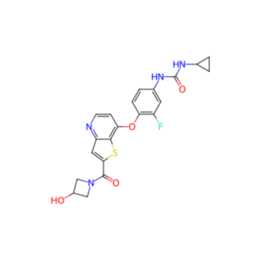 O=C(Nc1ccc(Oc2ccnc3cc(C(=O)N4CC(O)C4)sc23)c(F)c1)NC1CC1